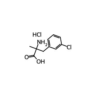 CC(N)(Cc1cccc(Cl)c1)C(=O)O.Cl